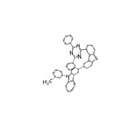 Cc1cccc(-n2c3ccccc3c3cc(-c4ccc5sc6cccc(-c7nc(-c8ccccc8)nc(-c8ccccc8)n7)c6c5c4)ccc32)c1